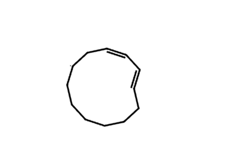 [CH]1C/C=C\C=C\CCCCCC1